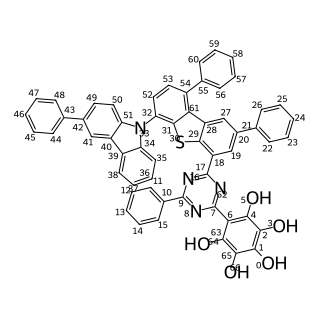 Oc1c(O)c(O)c(-c2nc(-c3ccccc3)nc(-c3cc(-c4ccccc4)cc4c3sc3c(-n5c6ccccc6c6cc(-c7ccccc7)ccc65)ccc(-c5ccccc5)c34)n2)c(O)c1O